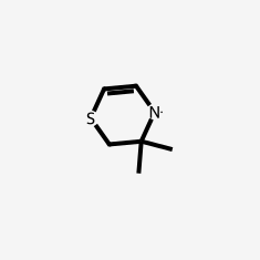 CC1(C)CSC=C[N]1